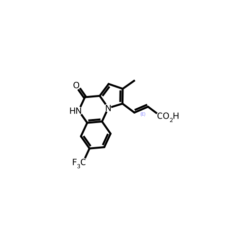 Cc1cc2c(=O)[nH]c3cc(C(F)(F)F)ccc3n2c1/C=C/C(=O)O